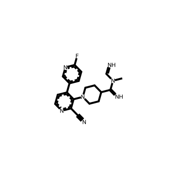 CN(C=N)C(=N)C1CCN(c2c(-c3ccc(F)nc3)ccnc2C#N)CC1